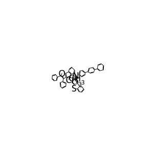 CC1(C)c2c(cccc2N(c2ccc(-c3ccc(-c4ccccc4)cc3)cc2)c2ccc3sc4ccccc4c3c2)-c2oc(-c3ccccc3)c(-c3ccccc3)c21